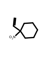 C=CC1([N+](=O)[O-])CCCCC1